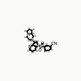 N#Cc1cccc(S(=O)(=O)n2cc(N3CCN4CCCC4C3)c3ncccc32)c1